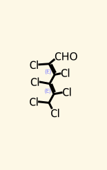 O=C/C(Cl)=C(Cl)/C(Cl)=C(\Cl)C(Cl)Cl